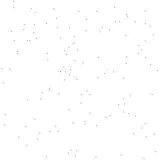 Cc1ccc(Nc2ncc(C3CNCCO3)c(Cl)n2)cc1